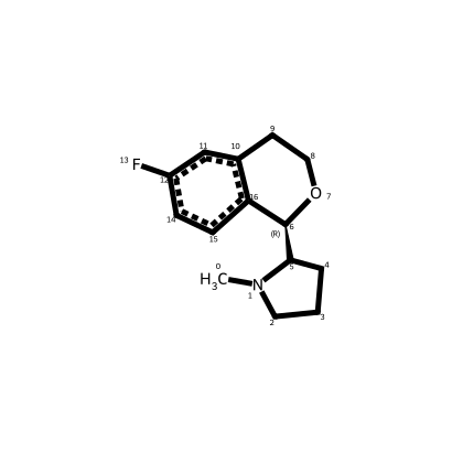 CN1CCCC1[C@@H]1OCCc2cc(F)ccc21